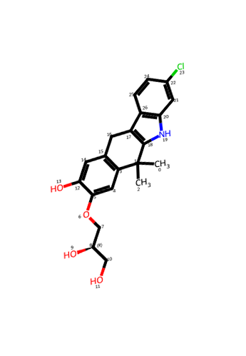 CC1(C)c2cc(OC[C@H](O)CO)c(O)cc2Cc2c1[nH]c1cc(Cl)ccc21